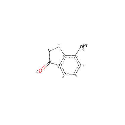 CCCc1cccc2c1CCC2=O